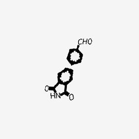 O=C1NC(=O)c2ccccc21.O=Cc1ccccc1